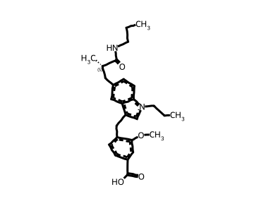 CCCNC(=O)[C@@H](C)Cc1ccc2c(c1)c(Cc1ccc(C(=O)O)cc1OC)cn2CCC